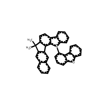 CC1(C)c2cc3ccccc3cc2-c2c1ccc1c3ccccc3n(-c3cccc4oc5ccccc5c34)c21